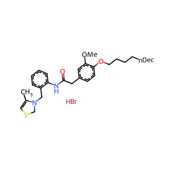 Br.CCCCCCCCCCCCCCOc1ccc(CC(=O)Nc2ccccc2CN2CSC=C2C)cc1OC